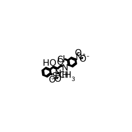 CN1C(C(=O)Nc2ccc([N+](=O)[O-])cc2Cl)=C(O)c2ccccc2S1(=O)=O